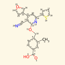 Cc1cc(C(=O)O)ccc1COc1nc(-c2cccs2)cc(-c2ccoc2)c1C#N